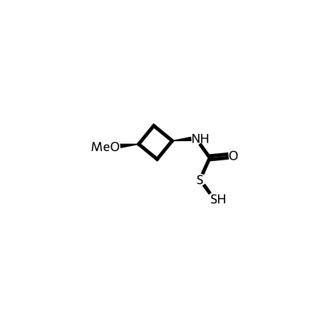 CO[C@H]1C[C@@H](NC(=O)SS)C1